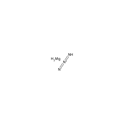 [MgH2].[N-]=[N+]=N